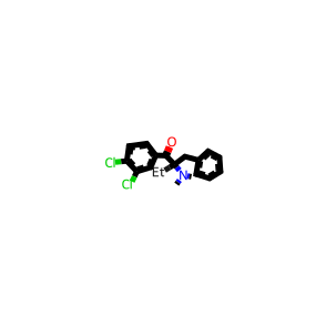 CCC(Cc1ccccc1)(C(=O)c1ccc(Cl)c(Cl)c1)N(C)C